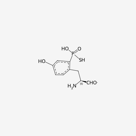 N[C@H]([C]=O)Cc1ccc(O)cc1P(=O)(O)S